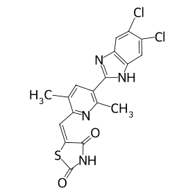 Cc1cc(-c2nc3cc(Cl)c(Cl)cc3[nH]2)c(C)nc1/C=C1/SC(=O)NC1=O